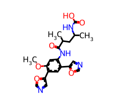 COc1cc(NC(=O)C(C)CC(C)NC(=O)O)c(-c2cnco2)cc1-c1cnco1